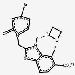 CCOC(=O)c1ccc2nc(Cn3ccc(Br)cc3=O)n(C[C@@H]3CCO3)c2c1F